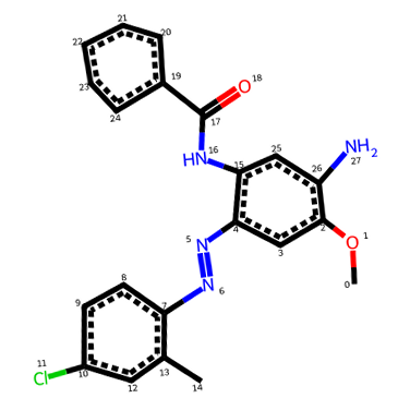 COc1cc(N=Nc2ccc(Cl)cc2C)c(NC(=O)c2ccccc2)cc1N